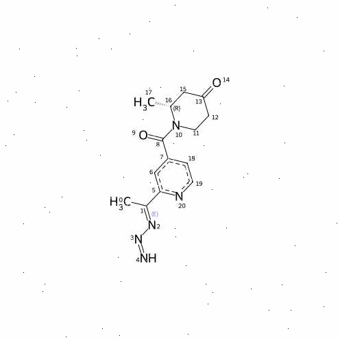 C/C(=N\N=N)c1cc(C(=O)N2CCC(=O)C[C@H]2C)ccn1